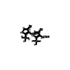 CCCCCCc1c(Br)csc1[Si](C)(C)C.CCCCCCc1c(Br)csc1[Si](C)(C)C